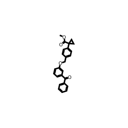 COC(=O)C1(c2ccc(COc3cccc(C(=O)c4ccccc4)c3)cc2)CC1